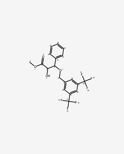 COC(=O)C(O)C(OCc1cc(C(F)(F)F)cc(C(F)(F)F)c1)c1ccccc1